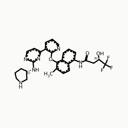 Cc1ccc2c(NC(=O)C[C@@H](O)C(F)(F)F)cccc2c1Oc1ncccc1-c1ccnc(N[C@H]2CCCNC2)n1